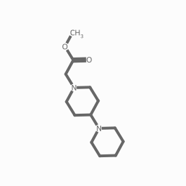 COC(=O)CN1CCC(N2CCCCC2)CC1